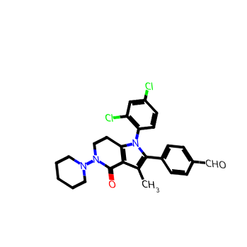 Cc1c2c(n(-c3ccc(Cl)cc3Cl)c1-c1ccc(C=O)cc1)CCN(N1CCCCC1)C2=O